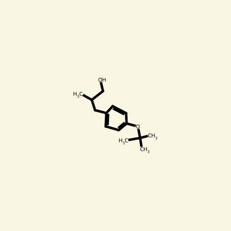 CC(CO)Cc1ccc(OC(C)(C)C)cc1